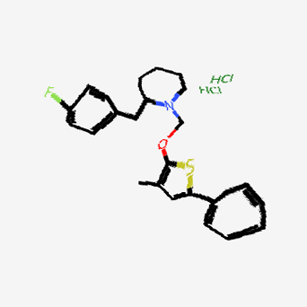 Cc1cc(-c2ccccc2)sc1OCN1CCCCC1Cc1ccc(F)cc1.Cl.Cl